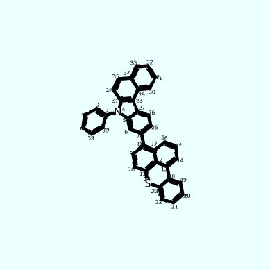 c1ccc(-n2c3cc(-c4ccc5c6c(cccc46)-c4ccccc4S5)ccc3c3c4ccccc4ccc32)cc1